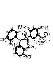 COc1cc(O)c(S(N)(=O)=O)cc1S(=O)(=O)N(c1cccc(Cl)c1C)c1cccc(Cl)c1C